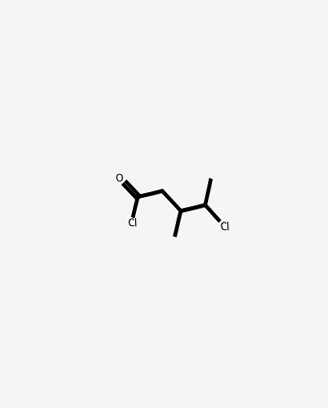 CC(Cl)C(C)CC(=O)Cl